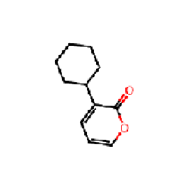 O=c1occcc1C1CCCCC1